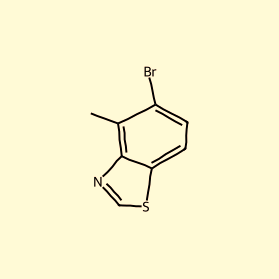 Cc1c(Br)ccc2scnc12